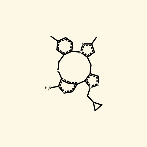 Cc1ccc2c(c1)COc1cc(cnc1N)-c1c(cnn1CC1CC1)Cc1cc(C)nn1-2